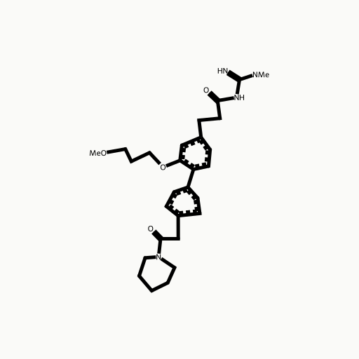 CNC(=N)NC(=O)CCc1ccc(-c2ccc(CC(=O)N3CCCCC3)cc2)c(OCCCOC)c1